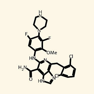 COc1c(Nc2nc(Cc3c(Cl)cccc3Cl)c3nc[nH]c3c2C(N)=O)cc(F)c(N2CCNCC2)c1F